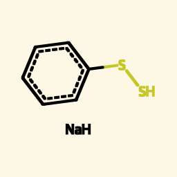 SSc1ccccc1.[NaH]